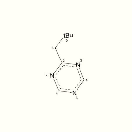 CC(C)(C)Cc1ncncn1